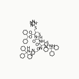 Cn1nnnc1SCC1=C(C(=O)OC(c2ccccc2)c2ccccc2)N2C(=O)C(NC(=O)/C(=N\OCc3csc(NC(c4ccccc4)(c4ccccc4)c4ccccc4)n3)c3csc(NC(c4ccccc4)(c4ccccc4)c4ccccc4)n3)[C@@H]2SC1